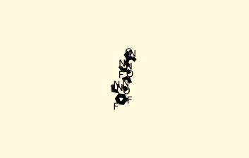 Cc1nocc1-c1ncc(F)c(OC2CN(C(=O)N3N=CC[C@H]3c3cc(F)cc(F)c3)C2)n1